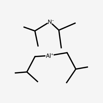 CC(C)[CH2][Al+][CH2]C(C)C.CC(C)[N-]C(C)C